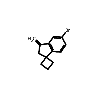 C=C1CC2(CCC2)c2ccc(Br)cc21